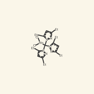 CCc1cc(CC)n([C](n2nc(CC)cc2CC)(n2nc(CC)cc2CC)[Mn]([Cl])[Cl])n1